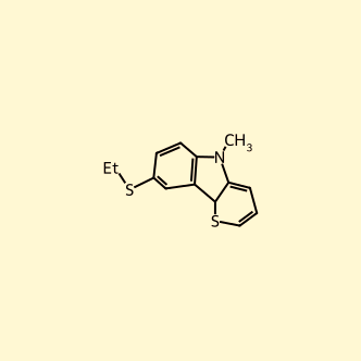 CCSc1ccc2c(c1)C1SC=CC=C1N2C